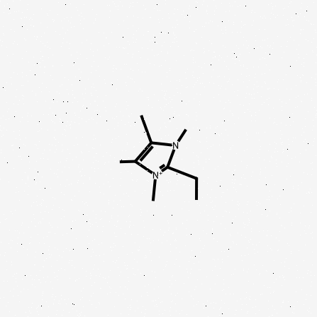 CCc1n(C)c(C)c(C)[n+]1C